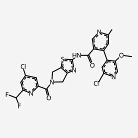 COc1cnc(Cl)cc1-c1cc(C)ncc1C(=O)Nc1nc2c(s1)CN(C(=O)c1cc(Cl)cc(C(F)F)n1)C2